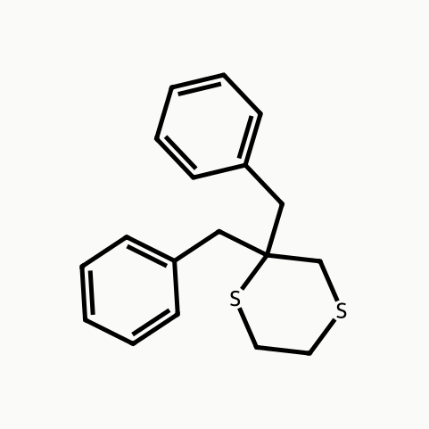 c1ccc(CC2(Cc3ccccc3)CSCCS2)cc1